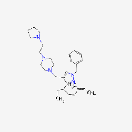 C=CC(/C=C\C(C)=C/C)c1nn(Cc2ccccc2)cc1CN1CCN(CCN2CCCC2)CC1